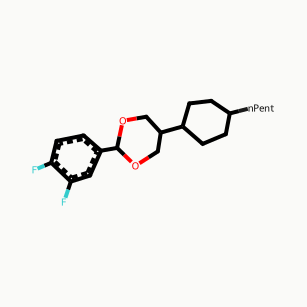 CCCCCC1CCC(C2COC(c3ccc(F)c(F)c3)OC2)CC1